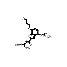 CNC(N)=NC(=O)c1cc2c(OC(C)C)ccc(OCCCN)c2[nH]1.Cl.Cl